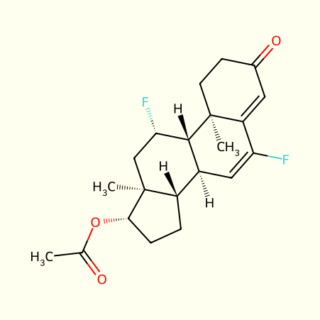 CC(=O)O[C@H]1CC[C@H]2[C@@H]3C=C(F)C4=CC(=O)CC[C@]4(C)[C@H]3[C@@H](F)C[C@]12C